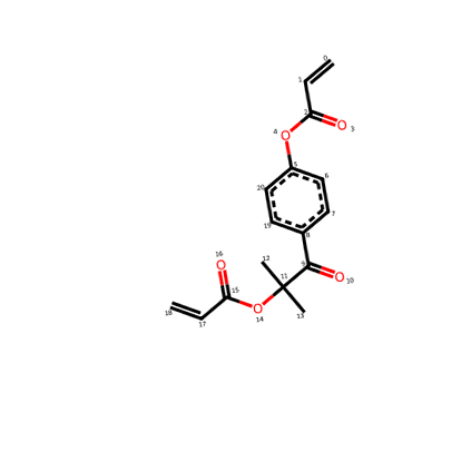 C=CC(=O)Oc1ccc(C(=O)C(C)(C)OC(=O)C=C)cc1